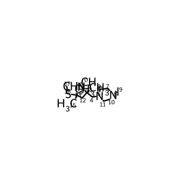 C=NC(C)(CN1CCN(I)CC1)CC(C)(C)SC